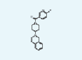 O=C(c1ccc(F)nc1)N1CCC(N2CCc3ccccc3C2)CC1